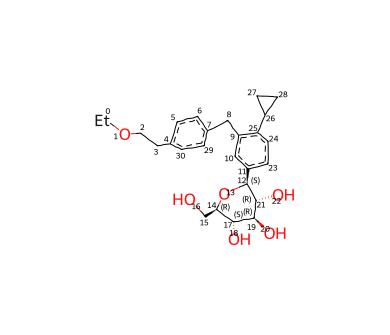 CCOCCc1ccc(Cc2cc([C@@H]3O[C@H](CO)[C@@H](O)[C@H](O)[C@H]3O)ccc2C2CC2)cc1